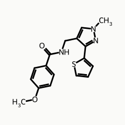 COc1ccc(C(=O)NCc2cn(C)nc2-c2cccs2)cc1